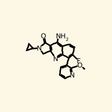 COc1ncccc1-c1c(F)ccc2c(N)c3c(nc12)CN(C1CC1)C3=O